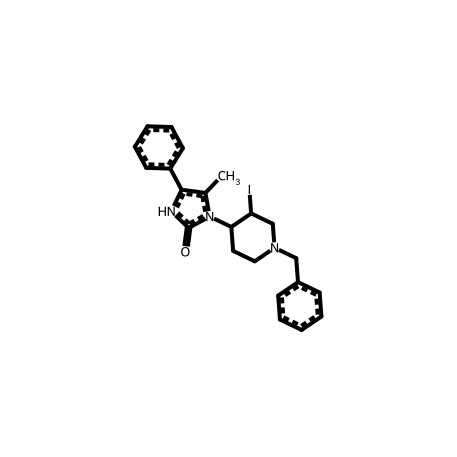 Cc1c(-c2ccccc2)[nH]c(=O)n1C1CCN(Cc2ccccc2)CC1I